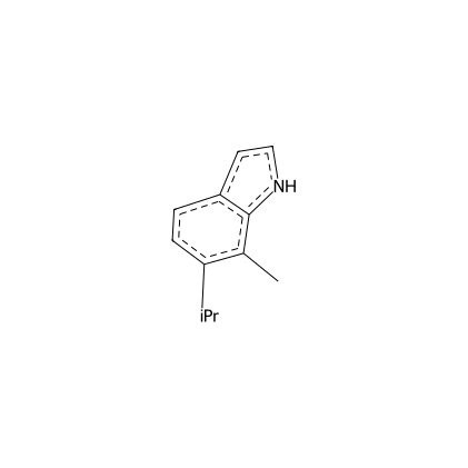 Cc1c(C(C)C)ccc2cc[nH]c12